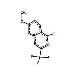 COc1ccc2c(Cl)nc(C(F)(F)F)cc2c1